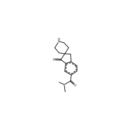 CN(C)C(=O)c1ccc2c(c1)C(=O)C1(CCNCC1)C2